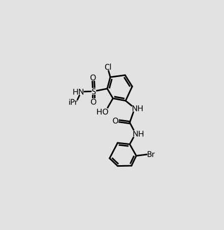 CC(C)NS(=O)(=O)c1c(Cl)ccc(NC(=O)Nc2ccccc2Br)c1O